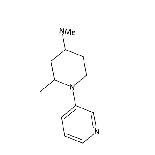 CNC1CCN(c2cccnc2)C(C)C1